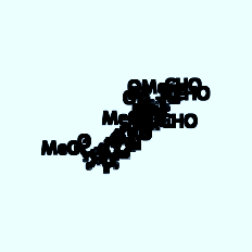 COC(=O)CCC(C)[C@H]1CCC2C3CC[C@@H]4C[C@@H](NC(=O)CC[C@@H](C=O)N(CCN(CC=O)CC=O)CCN(CC(=O)OC)CC(=O)OC)CC[C@]4(C)C3CC[C@@]21C